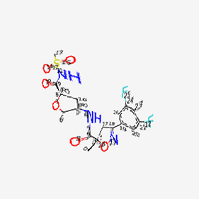 C[C@@]1(C(=O)N[C@H]2CO[C@@H](C(=O)NS(C)(=O)=O)C2)CC(c2cc(F)cc(F)c2)=NO1